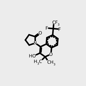 CC1(C)Oc2ccc(C(F)(F)C(F)(F)F)cc2C(N2CCCC2=O)=C1O